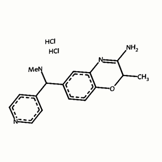 CNC(c1ccncc1)c1ccc2c(c1)N=C(N)C(C)O2.Cl.Cl